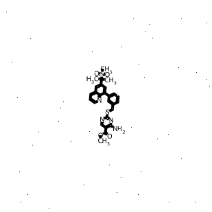 COC(=O)c1cnc(SCc2cccc(-c3cc(C(C)(C)S(C)(=O)=O)cc4cccnc34)c2)nc1N